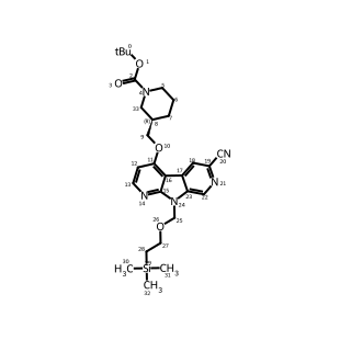 CC(C)(C)OC(=O)N1CCC[C@@H](COc2ccnc3c2c2cc(C#N)ncc2n3COCC[Si](C)(C)C)C1